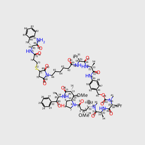 CC[C@H](C)[C@@H]([C@@H](CC(=O)N1CCC[C@H]1[C@H](OC)[C@@H](C)C(=O)N[C@H](C)[C@@H](O)c1ccccc1)OC)N(C)C(=O)[C@H](C)NC(=O)[C@H](C(C)C)N(C)C(=O)OCc1ccc(NC(=O)[C@H](C)NC(=O)[C@@H](NC(=O)CCCCCN2C(=O)CC(SCCC(=O)N[C@H](Cc3ccccc3)C(N)=O)C2=O)C(C)C)cc1